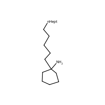 CCCCCCCCCCCCC1(N)CCCCC1